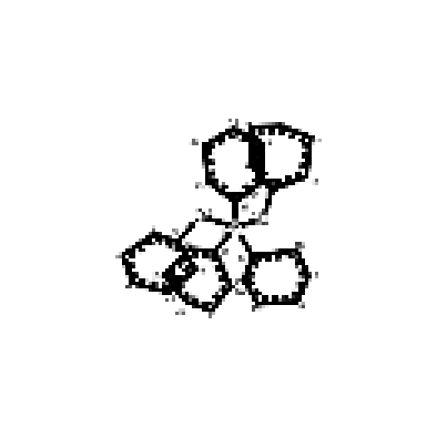 c1ccc(OP(Oc2ccccc2)(c2ccccc2)(c2ccccc2)c2ccccc2)cc1